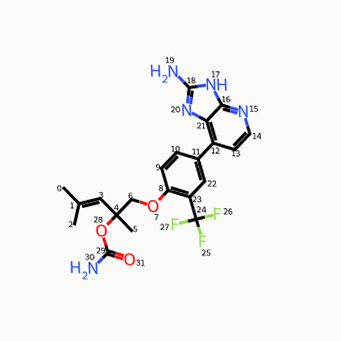 CC(C)=CC(C)(COc1ccc(-c2ccnc3[nH]c(N)nc23)cc1C(F)(F)F)OC(N)=O